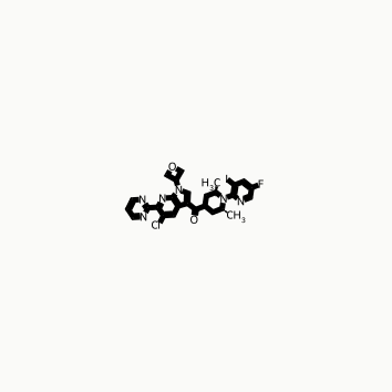 C[C@@H]1CC(C(=O)c2cn(C3COC3)c3nc(-c4ncccn4)c(Cl)cc23)C[C@@H](C)N1c1ncc(F)cc1I